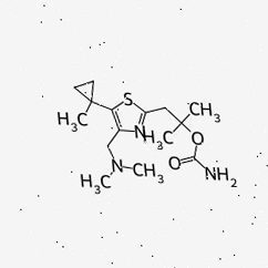 CN(C)Cc1nc(CC(C)(C)OC(N)=O)sc1C1(C)CC1